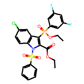 CCOC(=O)c1c(P(=O)(OCC)c2cc(F)cc(F)c2)c2cc(Cl)ccc2n1S(=O)(=O)c1ccccc1